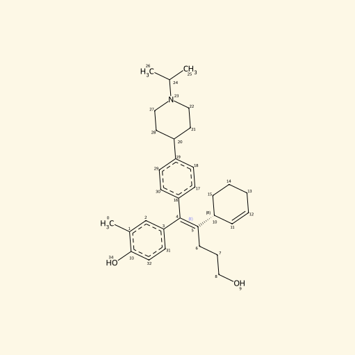 Cc1cc(/C(=C(\CCCO)[C@H]2C=CCCC2)c2ccc(C3CCN(C(C)C)CC3)cc2)ccc1O